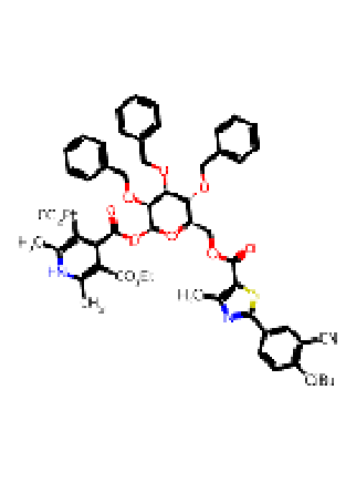 CCOC(=O)C1=C(C)NC(C)=C(C(=O)OCC)C1C(=O)O[C@@H]1O[C@H](COC(=O)c2sc(-c3ccc(OCC(C)C)c(C#N)c3)nc2C)[C@@H](OCc2ccccc2)[C@H](OCc2ccccc2)[C@@H]1OCc1ccccc1